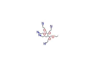 CCCOCC(OCCC#N)C(CCCC#N)C(OCCC#N)C(COCCC#N)OCCC#N